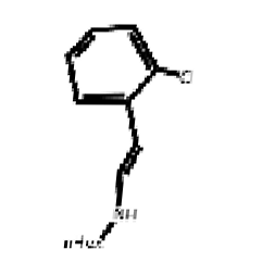 CCCCCCNC=Cc1ccccc1Cl